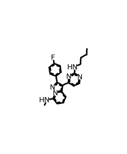 CCCCNc1nccc(-c2c(-c3ccc(F)cc3)nn3c(NC)cccc23)n1